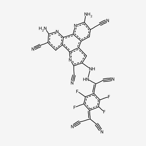 N#CC(C#N)=c1c(F)c(F)c(=C(C#N)NNc2cc3c4cc(C#N)c(N)nc4c4nc(N)c(C#N)cc4c3nc2C#N)c(F)c1F